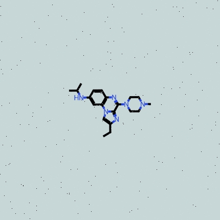 CCc1cn2c(n1)c(N1CCN(C)CC1)nc1ccc(NC(C)C)cc12